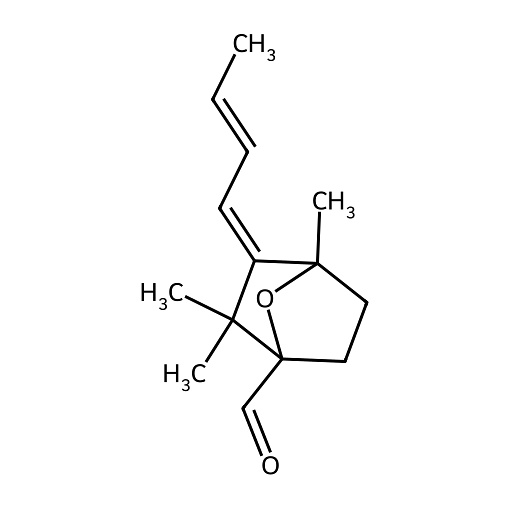 CC=CC=C1C2(C)CCC(C=O)(O2)C1(C)C